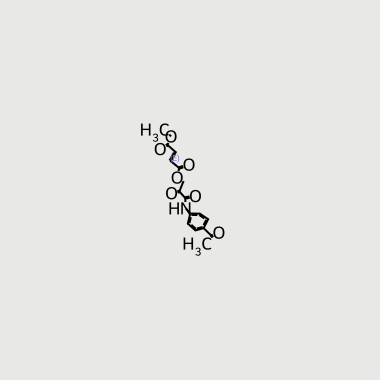 COC(=O)/C=C/C(=O)OCC(=O)C(=O)Nc1ccc(C(C)=O)cc1